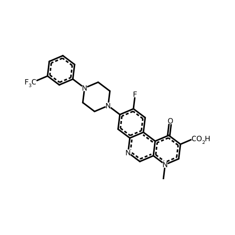 Cn1cc(C(=O)O)c(=O)c2c3cc(F)c(N4CCN(c5cccc(C(F)(F)F)c5)CC4)cc3ncc21